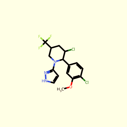 COc1cc(C2C(Cl)CC(C(F)(F)F)CN2c2cc[nH]n2)ccc1Cl